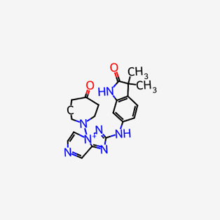 CC1(C)C(=O)Nc2cc(NC3=N[N+]4(N5CCCC(=O)CC5)C=CN=CC4=N3)ccc21